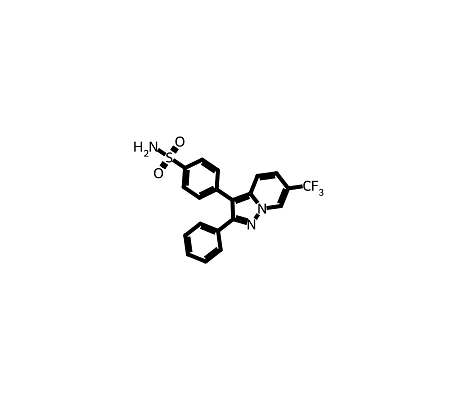 NS(=O)(=O)c1ccc(-c2c(-c3ccccc3)nn3cc(C(F)(F)F)ccc23)cc1